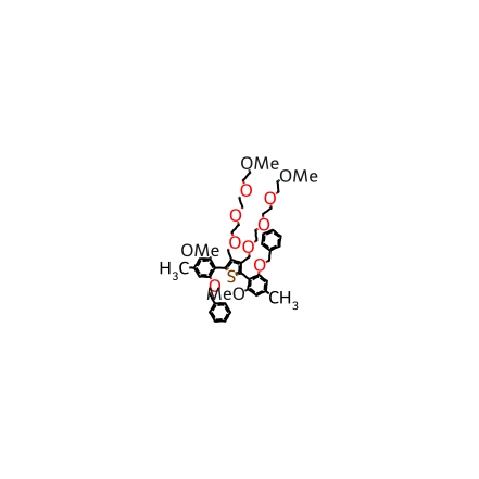 COCCOCCOCCOCc1c(-c2c(OC)cc(C)cc2OCc2ccccc2)sc(-c2c(OC)cc(C)cc2OCc2ccccc2)c1COCCOCCOCCOC